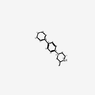 CC1CN(c2ccc(C3CCCCC3)cc2)CCN1